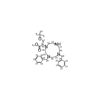 COC(=O)[C@@H](COC(C)(C)C)N1CCNCCN(Cc2ccccc2)CCN(Cc2ccccc2)CC1